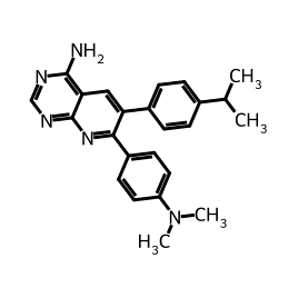 CC(C)c1ccc(-c2cc3c(N)ncnc3nc2-c2ccc(N(C)C)cc2)cc1